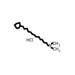 CCN(CC)CCCCCCCCCCCCCCC1CCCCC1.Cl